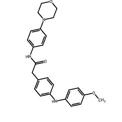 COc1ccc(Nc2ccc(CC(=O)Nc3ccc(N4CCOCC4)cc3)cc2)cc1